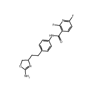 NC1=NC(CCc2ccc(NC(=O)c3ccc(F)nc3F)cc2)CO1